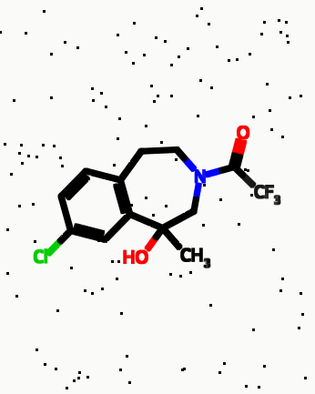 CC1(O)CN(C(=O)C(F)(F)F)CCc2ccc(Cl)cc21